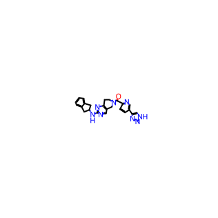 O=C(c1ccc(-c2c[nH]nn2)cn1)N1CCc2nc(NC3Cc4ccccc4C3)ncc2C1